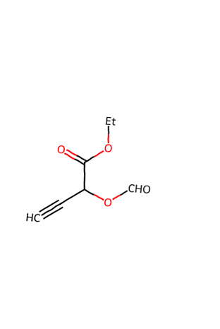 C#CC(OC=O)C(=O)OCC